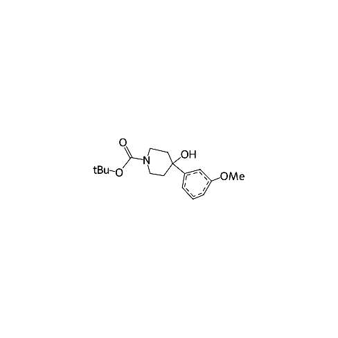 COc1cccc(C2(O)CCN(C(=O)OC(C)(C)C)CC2)c1